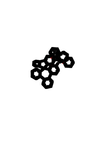 c1ccc(N(c2ccccc2)c2ccc3c(c2)C2(c4ccccc4-c4ccccc4-3)c3ccccc3-c3cc4oc5ccccc5c4cc32)cc1